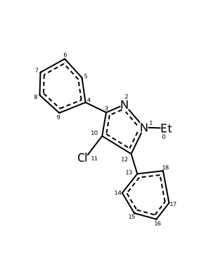 CCn1nc(-c2ccccc2)c(Cl)c1-c1ccccc1